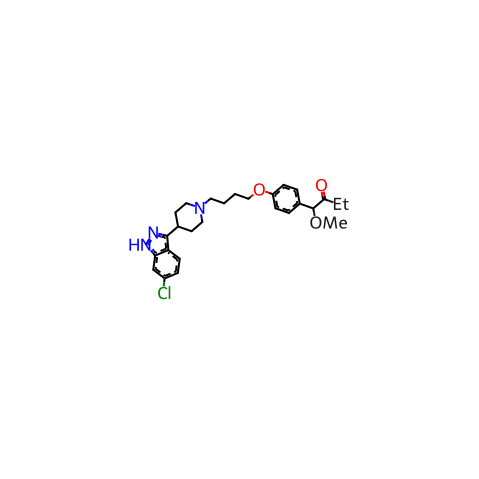 CCC(=O)C(OC)c1ccc(OCCCCN2CCC(c3n[nH]c4cc(Cl)ccc34)CC2)cc1